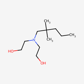 CCCC(C)(C)CN(CCO)CCO